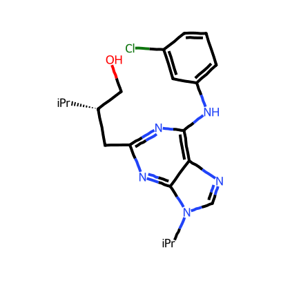 CC(C)[C@H](CO)Cc1nc(Nc2cccc(Cl)c2)c2ncn(C(C)C)c2n1